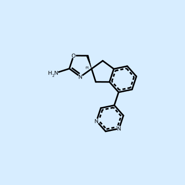 NC1=N[C@]2(CO1)Cc1cccc(-c3cncnc3)c1C2